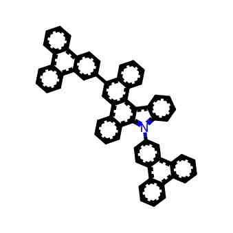 c1ccc2c(c1)c(-c1ccc3c4ccccc4c4ccccc4c3c1)cc1c3ccccc3c3c(c4ccccc4n3-c3ccc4c5ccccc5c5ccccc5c4c3)c21